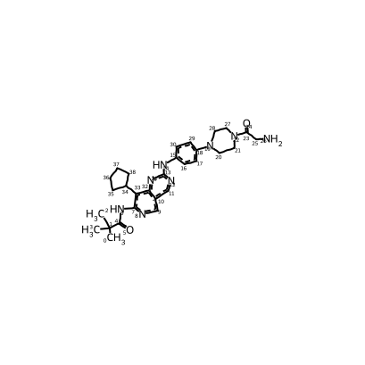 CC(C)(C)C(=O)Nc1ncc2cnc(Nc3ccc(N4CCN(C(=O)CN)CC4)cc3)nc2c1C1CCCC1